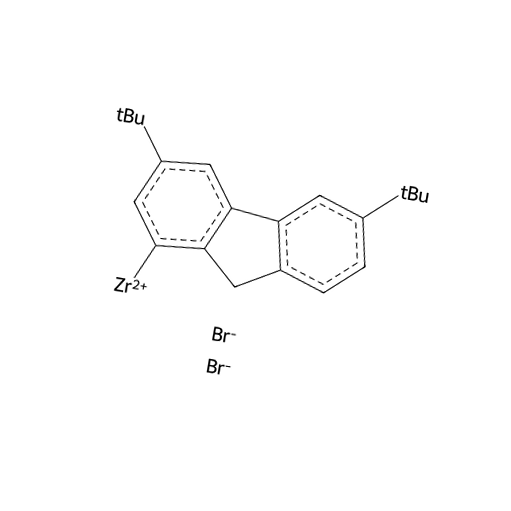 CC(C)(C)c1ccc2c(c1)-c1cc(C(C)(C)C)c[c]([Zr+2])c1C2.[Br-].[Br-]